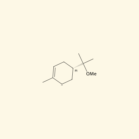 COC(C)(C)[C@@H]1C[C]C(C)=CC1